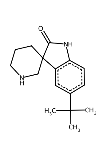 CC(C)(C)c1ccc2c(c1)C1(CCCNC1)C(=O)N2